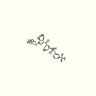 CC(CO)(CO)n1cc(C(=O)c2cncc(NC(=O)Cc3cccc(C(F)(F)F)c3)c2)c2cncnc21